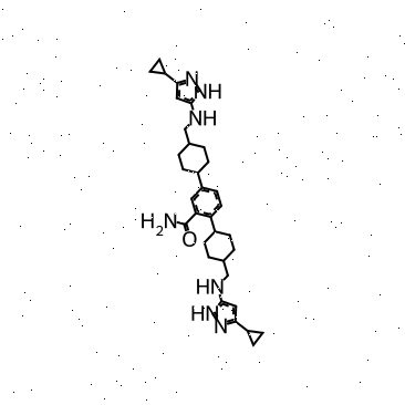 NC(=O)c1cc(C2CCC(CNc3cc(C4CC4)n[nH]3)CC2)ccc1C1CCC(CNc2cc(C3CC3)n[nH]2)CC1